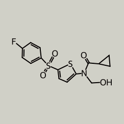 O=C(C1CC1)N(CO)c1ccc(S(=O)(=O)c2ccc(F)cc2)s1